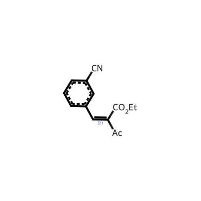 CCOC(=O)/C(=C\c1cccc(C#N)c1)C(C)=O